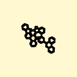 C1=CCC(Nc2cccc3oc4cccc(C5=CC=CC(C6=CC7C=CC=CC7c7ccccc76)C5)c4c23)C(c2ccc3c(c2)sc2ccccc23)=C1